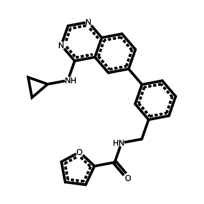 O=C(NCc1cccc(-c2ccc3ncnc(NC4CC4)c3c2)c1)c1ccco1